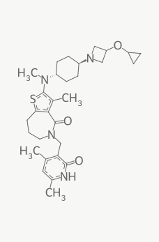 Cc1cc(C)c(CN2CCCc3sc(N(C)[C@H]4CC[C@H](N5CC(OC6CC6)C5)CC4)c(C)c3C2=O)c(=O)[nH]1